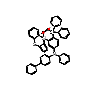 c1ccc(-c2ccc(N(c3ccccc3)c3ccc4c(c3)[Si]3(c5ccccc5Sc5ccccc53)c3ccccc3[Si]4(c3ccccc3)c3ccccc3)cc2)cc1